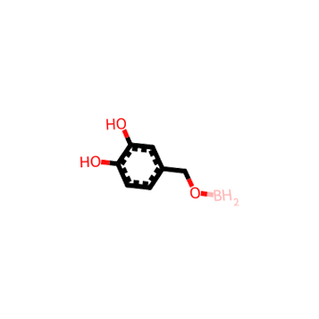 BOCc1ccc(O)c(O)c1